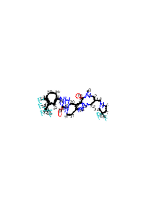 CN1CC(CN2CCC(F)(F)C2)Cn2nc3c(c2C1=O)CN(C(=O)Nc1ccc(F)c(C(F)(F)F)c1)CC3